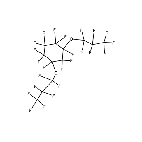 FC(F)(F)C(F)(F)C(F)(F)OC1(F)C(F)(F)C(F)(F)C(F)(F)C(F)(OC(F)(F)C(F)(F)C(F)(F)F)C1(F)F